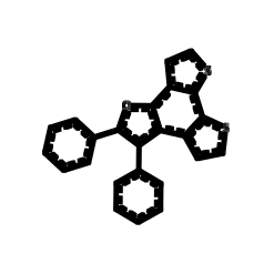 c1ccc(-c2oc3c4ccsc4c4sccc4c3c2-c2ccccc2)cc1